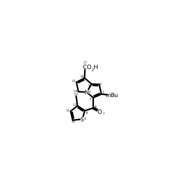 CCCCc1cc2n(c1C(=O)c1sccc1C)CC=C2C(=O)O